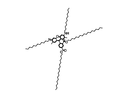 CCCCCCCCCCCCCCCCCCOC(=O)c1ccc(-c2c3cc(C)/c(=N\CCCCCCCCCCCC)cc-3oc3cc(NCCCCCCCCCCCC)c(C)cc23)c(C(=O)OCCCCCCCCCCCCCCCCCC)c1